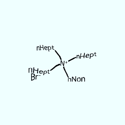 CCCCCCCCC[N+](CCCCCCC)(CCCCCCC)CCCCCCC.[Br-]